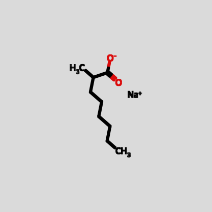 CCCCCCC(C)C(=O)[O-].[Na+]